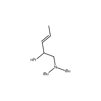 C/C=C/C(CCC)CN(C(C)CC)C(C)CC